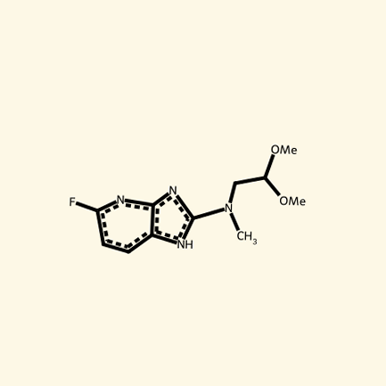 COC(CN(C)c1nc2nc(F)ccc2[nH]1)OC